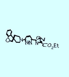 CCOC(=O)c1noc(-c2ccc(N3CCC4(CC3)COc3ccccc34)nn2)n1